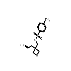 C=CCC1(COS(=O)(=O)c2ccc(C)cc2)COC1